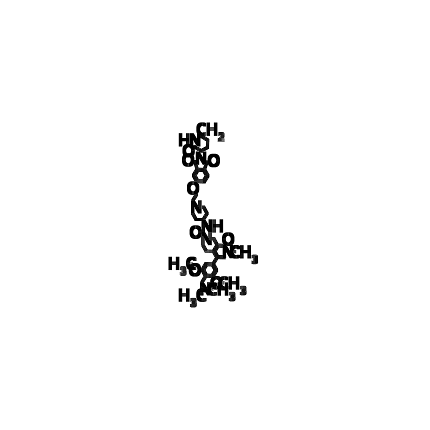 C=C1CCC(N2C(=O)c3ccc(OCCN4CCC(NC(=O)N5CCc6c(-c7cc(OC)c(CN(C)C)c(OC)c7)cn(C)c(=O)c6C5)CC4)cc3C2=O)C(=O)N1